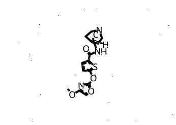 COc1coc(Oc2ccc(C(=O)N[C@H]3CN4CCC3CC4)s2)n1